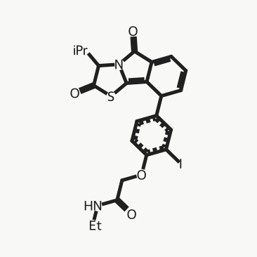 CCNC(=O)COc1ccc(C2C=CC=C3C(=O)N4C(=C32)SC(=O)C4C(C)C)cc1I